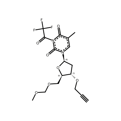 C#CCO[C@H]1C[C@H](n2cc(C)c(=O)n(C(=O)C(F)(F)F)c2=O)O[C@@H]1COCOC